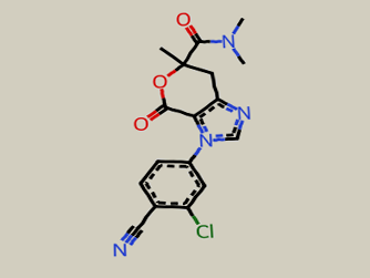 CN(C)C(=O)C1(C)Cc2ncn(-c3ccc(C#N)c(Cl)c3)c2C(=O)O1